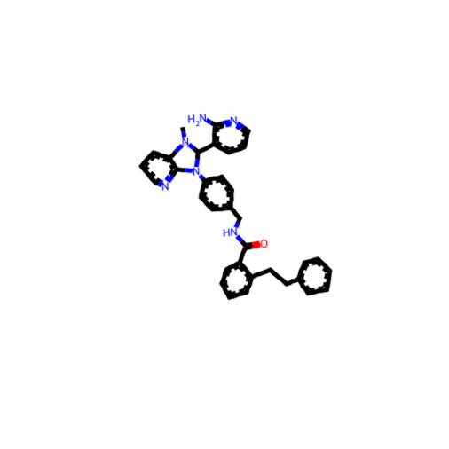 CN1c2cccnc2N(c2ccc(CNC(=O)c3ccccc3CCc3ccccc3)cc2)C1c1cccnc1N